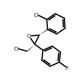 Fc1ccc([C@@]2(CCl)O[C@@H]2c2ccccc2Cl)cc1